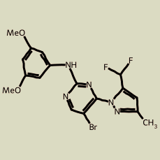 COc1cc(Nc2ncc(Br)c(-n3nc(C)cc3C(F)F)n2)cc(OC)c1